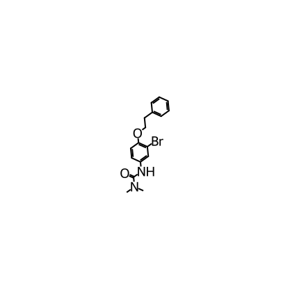 CN(C)C(=O)Nc1ccc(OCCc2ccccc2)c(Br)c1